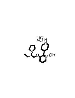 CC[C@H](COc1cccnc1C1CCNCC1)N1CCCC1.Cl.Cl.Cl